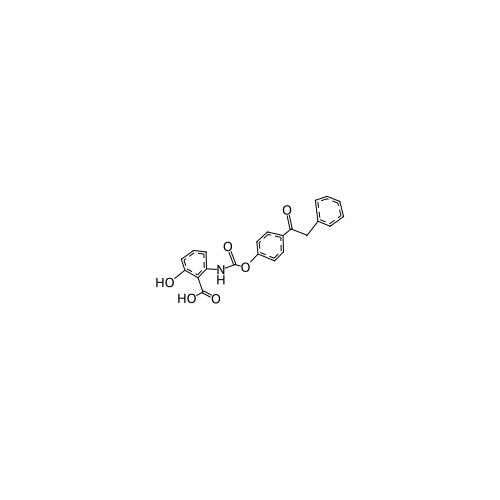 O=C(Nc1cccc(O)c1C(=O)O)Oc1ccc(C(=O)Cc2ccccc2)cc1